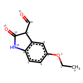 CCOc1ccc2c(c1)C(C=O)C(=O)N2